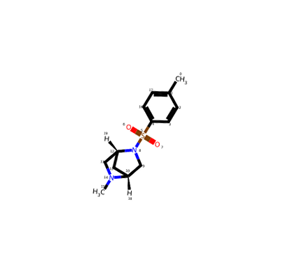 Cc1ccc(S(=O)(=O)N2C[C@H]3C[C@@H]2CN3C)cc1